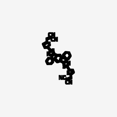 N#CC(C#N)=Cc1ccc(-c2nc3c(s2)-c2cc4c(cc2C32CCCCC2)-c2sc(-c3ccc(C=C(C#N)C#N)s3)nc2C42CCCCC2)s1